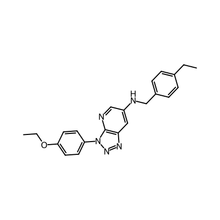 CCOc1ccc(-n2nnc3cc(NCc4ccc(CC)cc4)cnc32)cc1